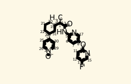 C[C@H](C(=O)Nc1ccc(Oc2ccc(F)cn2)cn1)[C@H]1CCC[C@@H](c2cc[n+]([O-])cc2)C1